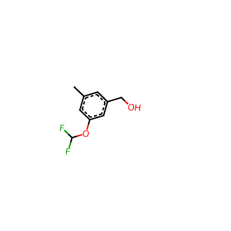 Cc1cc(CO)cc(OC(F)F)c1